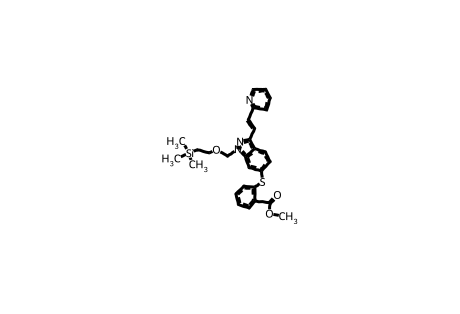 COC(=O)c1ccccc1Sc1ccc2c(C=Cc3ccccn3)nn(COCC[Si](C)(C)C)c2c1